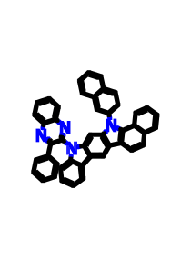 C1=CC2C=Cc3c(n(C4C=c5ccccc5=CC4)c4cc5c(cc34)c3ccccc3n5-c3nc4ccccc4nc3-c3ccccc3)C2C=C1